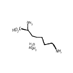 NCCCCC(N)C(=O)O.O.[MgH2]